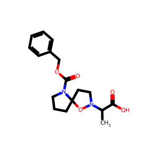 CC(C(=O)O)N1CCC2(CCCN2C(=O)OCc2ccccc2)O1